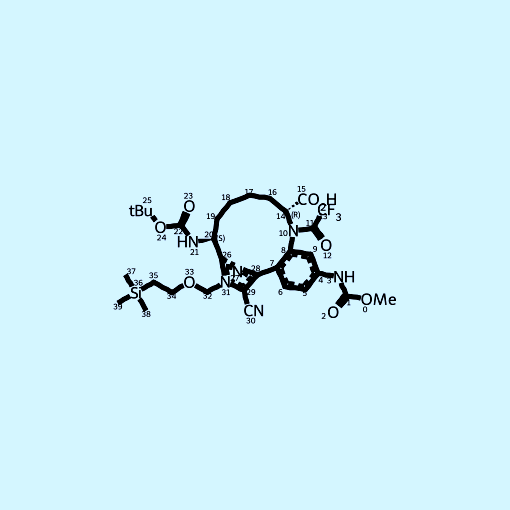 COC(=O)Nc1ccc2c(c1)N(C(=O)C(F)(F)F)[C@@H](C(=O)O)CCCC[C@H](NC(=O)OC(C)(C)C)c1nc-2c(C#N)n1COCC[Si](C)(C)C